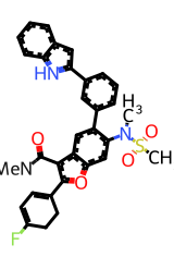 CNC(=O)c1c(C2=CC=C(F)CC2)oc2cc(N(C)S(C)(=O)=O)c(-c3cccc(-c4cc5ccccc5[nH]4)c3)cc12